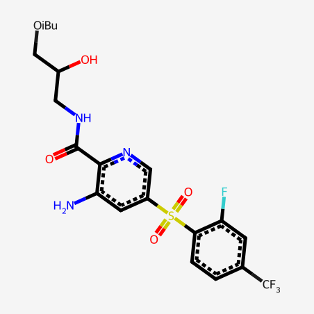 CC(C)COCC(O)CNC(=O)c1ncc(S(=O)(=O)c2ccc(C(F)(F)F)cc2F)cc1N